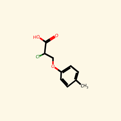 Cc1ccc(OCC(Cl)C(=O)O)cc1